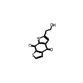 O=C1c2ccsc2C(=O)c2sc(CCO)cc21